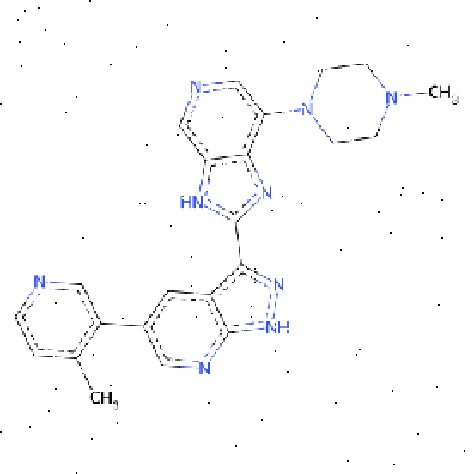 Cc1ccncc1-c1cnc2[nH]nc(-c3nc4c(N5CCN(C)CC5)cncc4[nH]3)c2c1